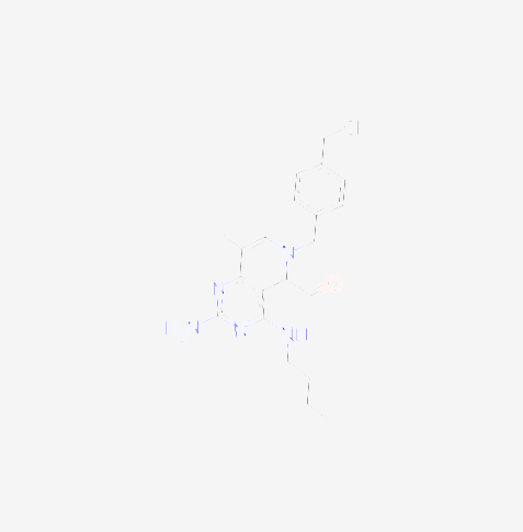 CCCCNc1nc(N)nc2c1C(C=O)N(Cc1ccc(CCl)cc1)C=C2C